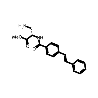 COC(=O)[C@H](CN)NC(=O)c1ccc(/C=C/c2ccccc2)cc1